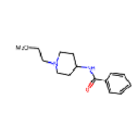 COCCN1CCC(NC(=O)c2ccccc2)CC1